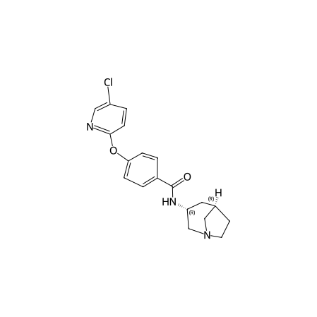 O=C(N[C@@H]1C[C@H]2CCN(C2)C1)c1ccc(Oc2ccc(Cl)cn2)cc1